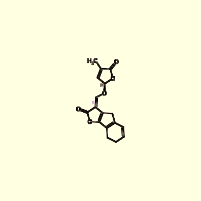 CC1=C[C@H](O/C=C2/C(=O)OC3=C2CC2=C3CCC=C2)OC1=O